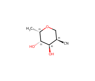 C[C@@H]1OC[C@@H](C#N)[C@@H](O)[C@@H]1O